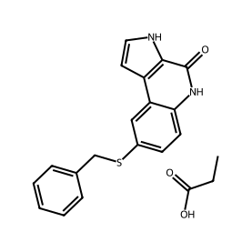 CCC(=O)O.O=c1[nH]c2ccc(SCc3ccccc3)cc2c2cc[nH]c12